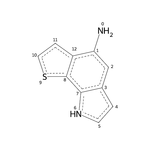 Nc1cc2cc[nH]c2c2sccc12